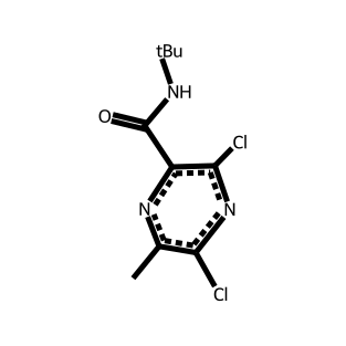 Cc1nc(C(=O)NC(C)(C)C)c(Cl)nc1Cl